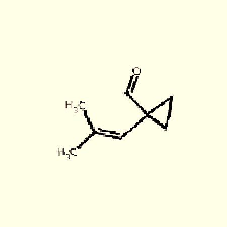 CC(C)=CC1([C]=O)CC1